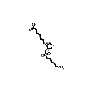 CCCCCCS(=O)(=O)C[C@@H]1COC[C@@H]1CC=CCCCC(=O)O